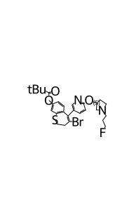 CC(C)(C)C(=O)Oc1ccc2c(c1)SCCC(Br)=C2c1ccc(O[C@H]2CCN(CCCF)C2)nc1